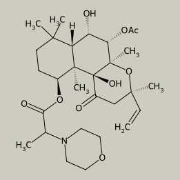 C=C[C@@]1(C)CC(=O)[C@]2(O)[C@@]3(C)[C@@H](OC(=O)C(C)N4CCOCC4)CCC(C)(C)[C@@H]3[C@H](O)[C@H](OC(C)=O)[C@@]2(C)O1